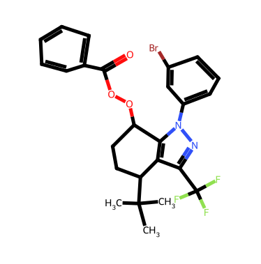 CC(C)(C)C1CCC(OOC(=O)c2ccccc2)c2c1c(C(F)(F)F)nn2-c1cccc(Br)c1